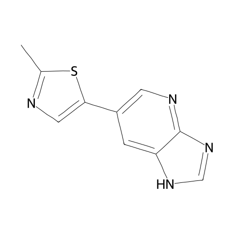 Cc1ncc(-c2cnc3nc[nH]c3c2)s1